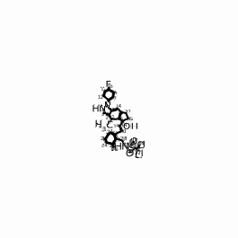 C[C@H]1C2=CNN(c3ccc(F)cc3)C2=CC2=C1[C@](O)(CCc1cccc(F)c1CNS(=O)(=O)C(Cl)Cl)CC2